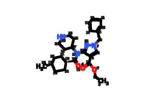 CCOC(=O)c1cn(Cc2ccccc2)nc1N(C(=O)[C@H]1CC[C@H](C)CC1)C1CCNCC1